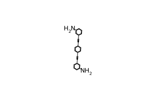 Nc1cccc(C#Cc2ccc(C#Cc3cccc(N)c3)cc2)c1